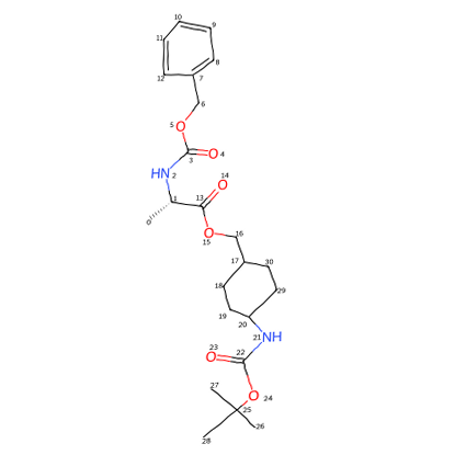 C[C@H](NC(=O)OCc1ccccc1)C(=O)OCC1CCC(NC(=O)OC(C)(C)C)CC1